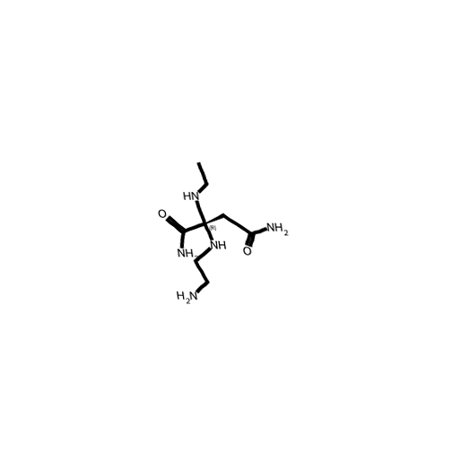 CCN[C@](CC(N)=O)(NCCN)C(N)=O